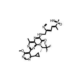 C=N/C(=C\C=C(/C)S(C)(=N)=O)CNc1nc2c(C)nc(-c3c(OC)ncnc3C3CC3)nc2n([C@@H](C)C(F)(F)F)c1=O